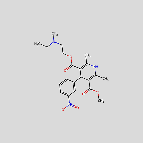 CCN(C)CCOC(=O)C1=C(C)NC(C)=C(C(=O)OC)C1c1cccc([N+](=O)[O-])c1